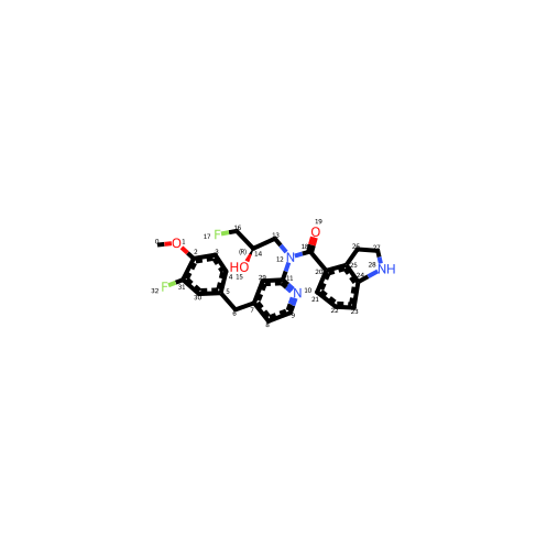 COc1ccc(Cc2ccnc(N(C[C@@H](O)CF)C(=O)c3cccc4c3CCN4)c2)cc1F